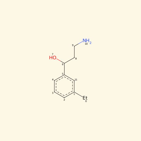 CCc1cccc(C(O)CCN)c1